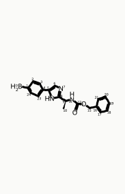 Bc1ccc(-c2cnc([C@H](C)NC(=O)OCc3ccccc3)[nH]2)cc1